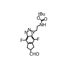 CC(C)(C)OC(=O)NCCn1nnc2c(F)c3c(c(F)c21)CC(C=O)C3